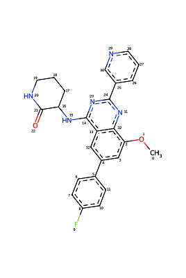 COc1cc(-c2ccc(F)cc2)cc2c(NC3CCCNC3=O)nc(-c3cccnc3)nc12